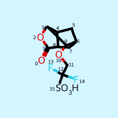 O=C1OC2C3CC(CC13)C2OCC(F)(F)S(=O)(=O)O